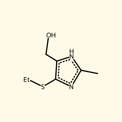 CCSc1nc(C)[nH]c1CO